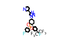 O=S(=O)(c1ccc(F)cc1)[C@]1(c2ccc(C(F)(C(F)(F)F)C(F)(F)F)cc2)CC[C@H](n2cc(-c3cccnc3)nn2)CC1